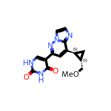 COC[C@H]1C[C@@H]1c1cc(-c2c[nH]c(=O)[nH]c2=O)nn2ccnc12